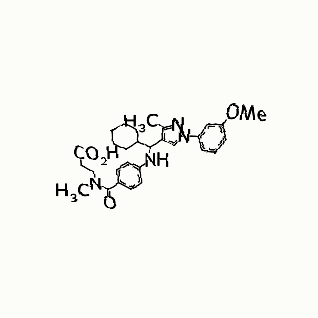 COc1cccc(-n2cc(C(Nc3ccc(C(=O)N(C)CCC(=O)O)cc3)C3CCCCC3)c(C)n2)c1